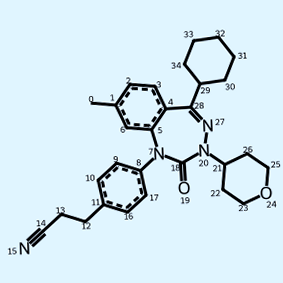 Cc1ccc2c(c1)N(c1ccc(CCC#N)cc1)C(=O)N(C1CCOCC1)N=C2C1CCCCC1